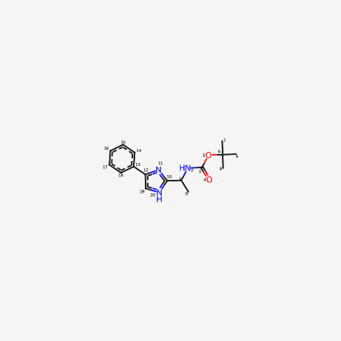 CC(NC(=O)OC(C)(C)C)c1nc(-c2ccccc2)c[nH]1